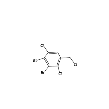 CCc1c(Cl)cc(CCl)c(Cl)c1Br